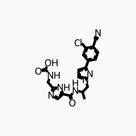 CC(Cn1ccc(-c2ccc(C#N)c(Cl)c2)n1)NC(=O)c1cnc(CNC(=O)O)[nH]1